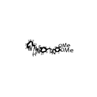 COc1cc2ncn(Cc3ccc4nc(NCc5ccccn5)sc4c3)c2cc1OC